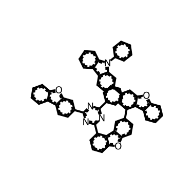 c1ccc(-c2nc(-c3ccc4c(c3)oc3ccccc34)nc(-c3cccc4oc5ccc(-c6cc(-c7ccc8c9ccccc9n(-c9ccccc9)c8c7)cc7oc8ccccc8c67)cc5c34)n2)cc1